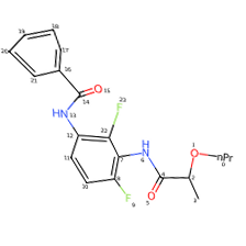 CCCOC(C)C(=O)Nc1c(F)ccc(NC(=O)c2ccccc2)c1F